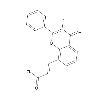 Cc1c(-c2ccccc2)oc2c(/C=C/C(=O)Cl)cccc2c1=O